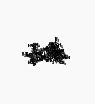 CC[C@H](C)[C@H](NC(=O)[C@H](CO)NC(=O)[C@H](CC(=O)O)NC(=O)[C@@H](NC(=O)[C@H](Cc1c[nH]cn1)NC(=O)[C@H](Cc1c[nH]cn1)NC(=O)[C@@H](N)CC(C)C)[C@@H](C)CC)C(=O)N[C@@H](CO)C(=O)NCC(=O)N[C@H](C(=O)N[C@@H](CO)C(=O)NCC(=O)N[C@@H](CCCCN)C(=O)N[C@@H](CCCNC(=N)N)C(=O)N[C@@H](CCSC)C(=O)N[C@@H](Cc1ccccc1)C(=O)O)C(C)C